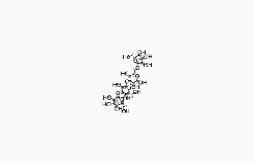 OC[C@H]1O[C@@H](OC[C@H]2O[C@@H](O)[C@H](O)[C@@H](O[C@@H]3O[C@H](CO)[C@@H](O)[C@H](O[C@@H]4O[C@H](CO)[C@@H](O)[C@H](O)[C@H]4O)[C@H]3O)[C@@H]2O)[C@H](O)[C@@H](O)[C@@H]1O